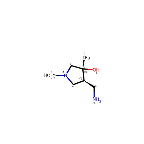 CC(C)(C)[C@]1(O)CN(C(=O)O)C[C@@H]1CN